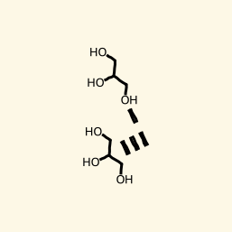 C=C.C=C.C=C.C=C.OCC(O)CO.OCC(O)CO